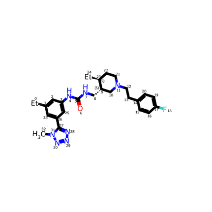 CCc1cc(NC(=O)NC[C@H]2CN(CCc3ccc(F)cc3)CC[C@@H]2CC)cc(-c2nnnn2C)c1